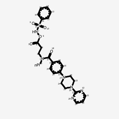 CCCN(CCC(=O)ONS(=O)(=O)c1ccccc1)C(=O)c1ccc(N2CCN(c3ncccn3)CC2)cc1